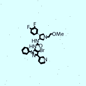 COCCN1C[C@@H](NC(=O)Nc2c(Br)c(-c3cccnc3)nn2-c2ccccc2)[C@H](c2ccc(F)c(F)c2)C1